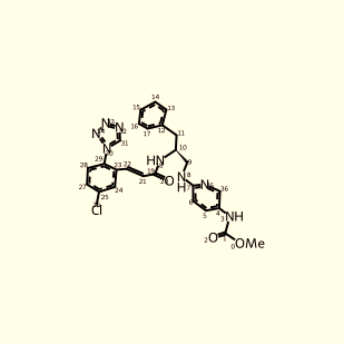 COC(=O)Nc1ccc(NC[C@H](Cc2ccccc2)NC(=O)/C=C/c2cc(Cl)ccc2-n2cnnn2)nc1